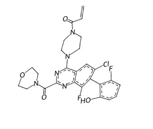 C=CC(=O)N1CCN(c2nc(C(=O)N3CCOCC3)nc3c(F)c(-c4c(O)cccc4F)c(Cl)cc23)CC1